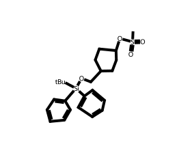 CC(C)(C)[Si](OCC1CCC(OS(C)(=O)=O)CC1)(c1ccccc1)c1ccccc1